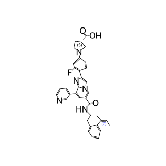 C/C=C(/C)c1ccccc1CCNC(=O)c1cc(-c2cccnc2)c2nc(-c3ccc(N4CC[C@H](C(=O)O)C4)cc3F)cn2c1